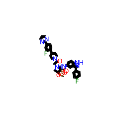 CS(=O)(=O)[C@@]1(C(=O)Nc2ccc3[nH]nc(-c4ccc(F)cc4)c3c2)CCN(CC(=O)N2CC=C(c3ccc(-c4ncccn4)cc3F)CC2)C1